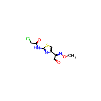 CON=C([C]=O)c1csc(NC(=O)CCl)n1